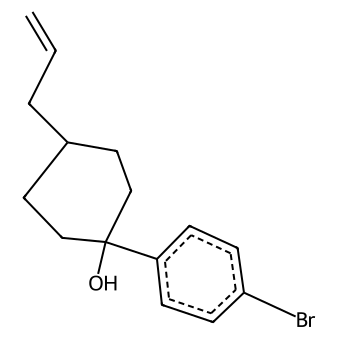 C=CCC1CCC(O)(c2ccc(Br)cc2)CC1